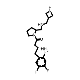 N[C@@H](CC(=O)N1CCCC1CNCC1CNC1)Cc1cc(F)c(F)cc1F